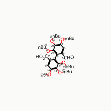 CCCCOc1cc(C=O)c(-c2c(C(=O)O)cc(OCC)c(OCCCC)c2OCCCC)c(OCCCC)c1OCCCC